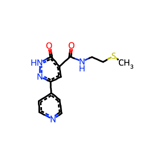 CSCCNC(=O)c1cc(-c2ccncc2)n[nH]c1=O